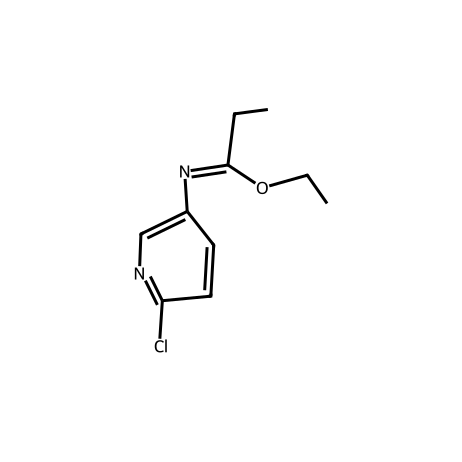 CCOC(CC)=Nc1ccc(Cl)nc1